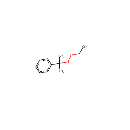 [CH2]COOC(C)(C)c1ccccc1